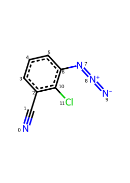 N#Cc1cccc(N=[N+]=[N-])c1Cl